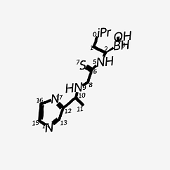 CC(C)C[C@@H](BO)NC(=S)CNC(C)c1cnccn1